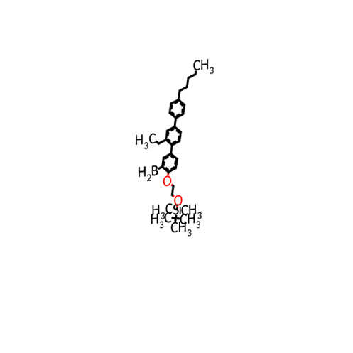 Bc1cc(-c2ccc(-c3ccc(CCCCC)cc3)cc2CC)ccc1OCCO[Si](C)(C)C(C)(C)C